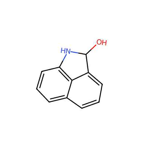 OC1Nc2cccc3cccc1c23